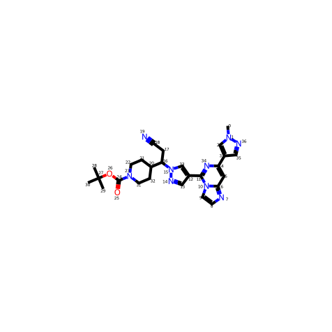 Cn1cc(-c2cc3nccn3c(-c3cnn(C(CC#N)C4CCN(C(=O)OC(C)(C)C)CC4)c3)n2)cn1